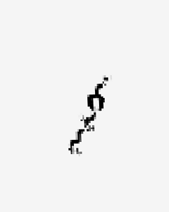 NCCCNC(=O)C[n+]1ccc(/C=N/O)cc1